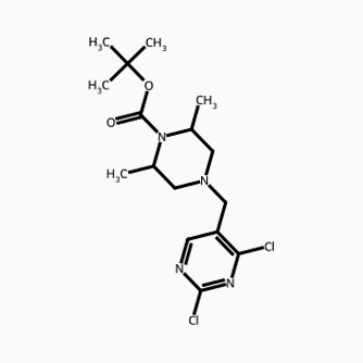 CC1CN(Cc2cnc(Cl)nc2Cl)CC(C)N1C(=O)OC(C)(C)C